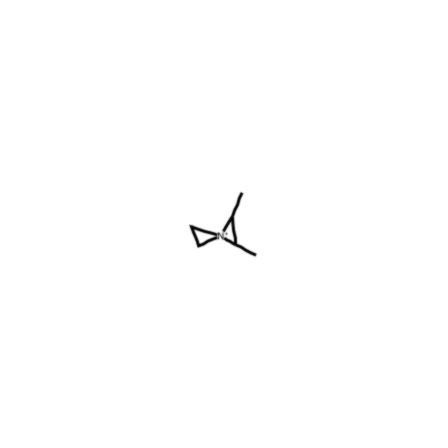 CC1C(C)[N+]12CC2